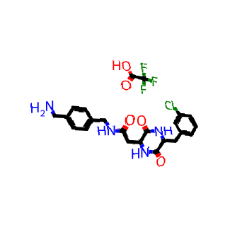 NCc1ccc(CNC(=O)CC2NC(=O)C(Cc3cccc(Cl)c3)NC2=O)cc1.O=C(O)C(F)(F)F